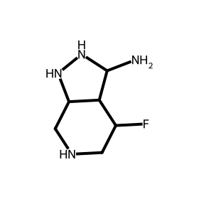 NC1NNC2CNCC(F)C12